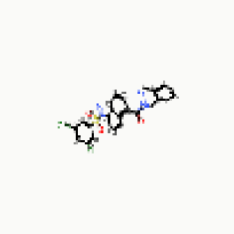 Cc1ccccc1CNC(=O)c1cccc2c(NS(=O)(=O)c3cc(Cl)cc(Cl)c3)cccc12